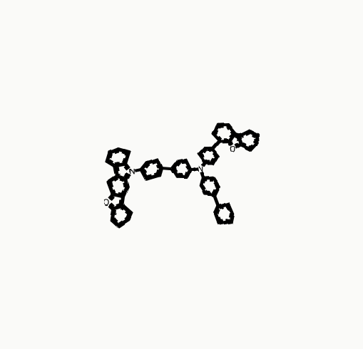 c1ccc(-c2ccc(N(c3ccc(-c4ccc(-n5c6ccccc6c6cc7oc8ccccc8c7cc65)cc4)cc3)c3ccc(-c4cccc5c4oc4ccccc45)cc3)cc2)cc1